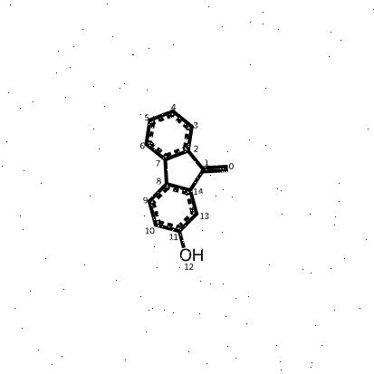 C=C1c2ccccc2-c2ccc(O)cc21